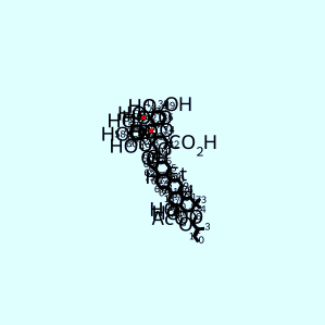 C/C=C(\C)C(=O)O[C@H]1[C@H](OC(C)=O)[C@]2(CO)[C@H](O)C[C@]3(C)C(=CC[C@]4(C)[C@@]5(CC)CC[C@H](O[C@@H]6O[C@H](C(=O)O)[C@@H](O[C@@H]7O[C@H](CO)[C@@H](O)[C@H](O)[C@H]7O)[C@H](O)C6O[C@@H]6O[C@H](CO)[C@@H](O)[C@H](O)[C@H]6O)[C@](C)(CO)[C@@H]5CC[C@]43C)[C@@H]2CC1(C)C